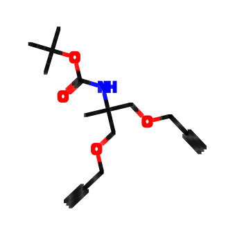 C#CCOCC(C)(COCC#C)NC(=O)OC(C)(C)C